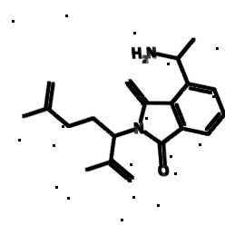 C=C(C)CCC(C(=C)C)N1C(=C)c2c(cccc2C(C)N)C1=O